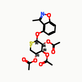 CC(=O)O[C@@H]1[C@@H](OC(C)=O)[C@H](OC(C)=O)CS[C@H]1Oc1cccc2onc(C)c12